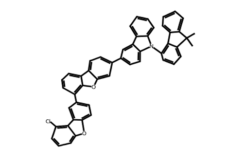 CC1(C)c2ccccc2-c2c(-n3c4ccccc4c4cc(-c5ccc6c(c5)oc5c(-c7ccc8oc9cccc(Cl)c9c8c7)cccc56)ccc43)cccc21